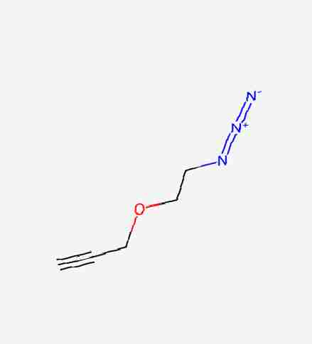 C#CCOCCN=[N+]=[N-]